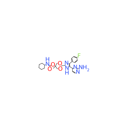 CC1(OC(=O)NC2CCCCC2)COC(c2nc(-c3ccc(F)cc3)c(-c3ccnc(N)n3)[nH]2)OC1